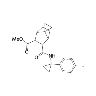 COC(=O)C1C(C(=O)NC2(c3ccc(C)cc3)CC2)C2CCC1C21CC1